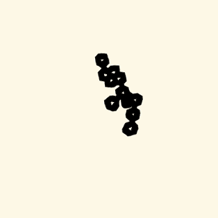 c1ccc(-c2ccc(-c3cccc4c3oc3c(-c5ccccc5)cc(-c5ccc6ccc7c(-c8ccccc8)ccc8ccc5c6c87)cc34)cc2)cc1